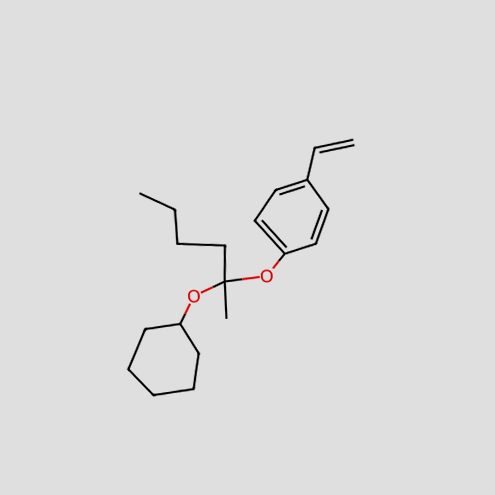 C=Cc1ccc(OC(C)(CCCC)OC2CCCCC2)cc1